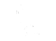 Cc1nc2cc(CN3CCOCC3)ccc2[nH]1